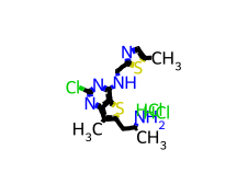 Cc1cnc(CNc2nc(Cl)nc3c(C)c(C[C@H](C)N)sc23)s1.Cl.Cl